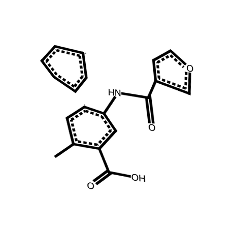 Cc1c[c]c(NC(=O)c2ccoc2)cc1C(=O)O.[c]1ccccc1